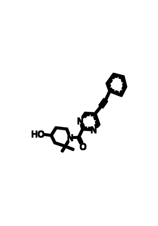 CC1(C)CC(O)CCN1C(=O)c1ncc(C#Cc2ccccc2)cn1